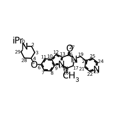 CC(C)N1CCC(Oc2ccc3c(c2)cc2n3[C@H](C)CN(Cc3ccncc3)C2=O)CC1